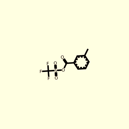 Cc1cccc(C(=O)OS(=O)(=O)C(F)(F)F)c1